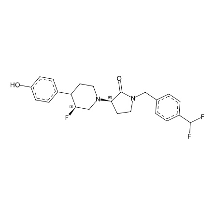 O=C1[C@H](N2CCC(c3ccc(O)cc3)[C@H](F)C2)CCN1Cc1ccc(C(F)F)cc1